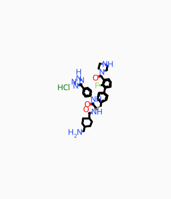 Cl.NCC1CCC(C(=O)N[C@@H](Cc2ccc(-c3cccc(C(=O)N4CCNCC4)c3F)cc2)C(=O)Nc2ccc(-c3nn[nH]n3)cc2)CC1